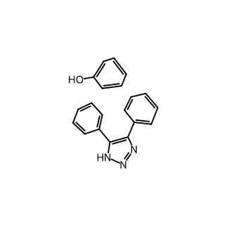 Oc1ccccc1.c1ccc(-c2nn[nH]c2-c2ccccc2)cc1